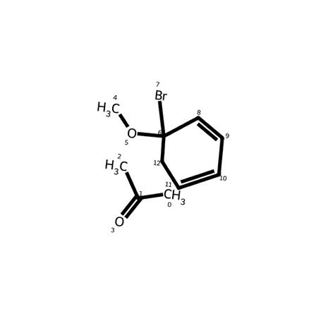 CC(C)=O.COC1(Br)C=CC=CC1